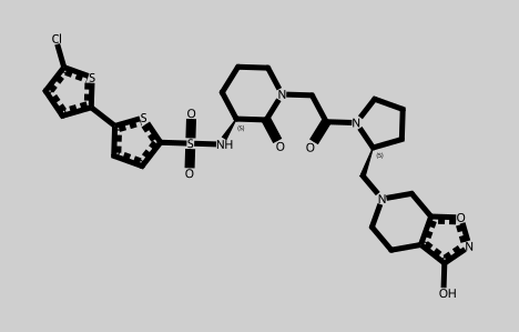 O=C1[C@@H](NS(=O)(=O)c2ccc(-c3ccc(Cl)s3)s2)CCCN1CC(=O)N1CCC[C@H]1CN1CCc2c(O)noc2C1